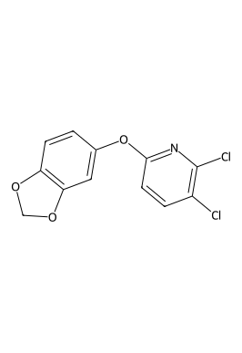 Clc1ccc(Oc2ccc3c(c2)OCO3)nc1Cl